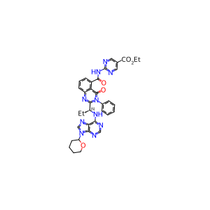 CCOC(=O)c1cnc(NC(=O)c2cccc3nc([C@H](CC)Nc4ncnc5c4ncn5C4CCCCO4)n(-c4ccccc4)c(=O)c23)nc1